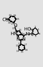 O[C@@H]1CCCC[C@H]1CNc1nc(-c2ccccc2)nc2[nH]c(COc3cccc(Cl)c3)cc12